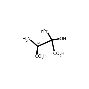 CCCC(O)(C(=O)O)[C@H](N)[12C](=O)O